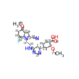 CCOc1cc(-c2cc(NCCn3c(C#N)cc4c(OC)ccc(F)c43)ncn2)ccc1C(=O)O